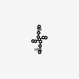 CN1c2ccccc2SC1c1ccc(-c2ccc3c(-c4ccc5ccccc5c4)c4cc(-c5ccc(C6Nc7ccccc7S6)cc5)ccc4c(-c4ccc5ccccc5c4)c3c2)cc1